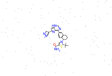 Cn1cc(-c2cc3[nH]cnc(-c4ccc5c(c4)CCCC5N4C=C(C(N)=O)SC4C(C)(C)C)c-3n2)cn1